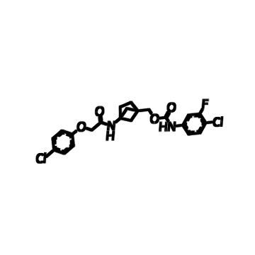 O=C(COc1ccc(Cl)cc1)NC12CCC(COC(=O)Nc3ccc(Cl)c(F)c3)(C1)C2